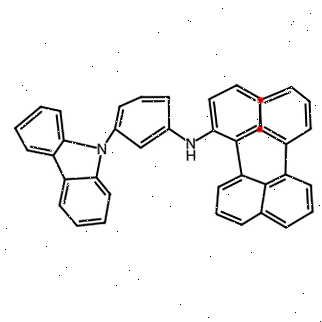 c1ccc(-c2cccc3cccc(-c4ccccc4Nc4cccc(-n5c6ccccc6c6ccccc65)c4)c23)cc1